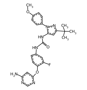 COc1ccc(-n2nc(C(C)(C)C)cc2NC(=O)Nc2ccc(Oc3cc(N)ncn3)c(F)c2)cc1